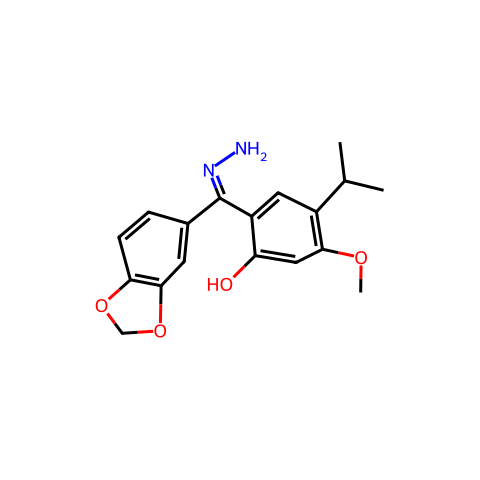 COc1cc(O)c(C(=NN)c2ccc3c(c2)OCO3)cc1C(C)C